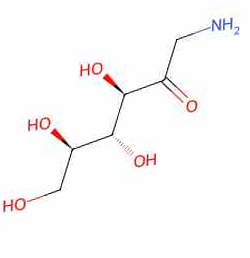 NCC(=O)[C@H](O)[C@H](O)[C@H](O)CO